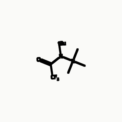 CC(C)(C)N(C(=O)C(F)(F)F)[Si](C)(C)C